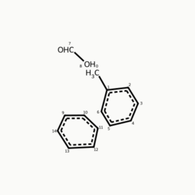 Cc1ccccc1.O=CO.c1ccccc1